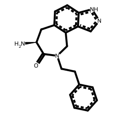 N[C@H]1Cc2ccc3[nH]ncc3c2CN(CCc2ccccc2)C1=O